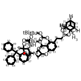 CC(C)(C)OC(=O)N[C@@H](C(=O)N1CC(Oc2ccc(CCB3O[C@@H]4C[C@@H]5C[C@@H](C5(C)C)[C@]4(C)O3)c(OC(=O)OC(C)(C)C)c2C(=O)OC(C)(C)C)C1)C(C)(C)SC(c1ccccc1)(c1ccccc1)c1ccccc1